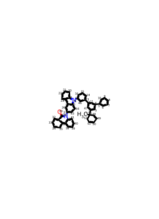 CC1(c2cc(-c3ccccc3)cc(-c3cccc(-n4c5ccccc5c5cc(-n6c(=O)c7ccccc7c7ccccc76)ccc54)c3)c2)C=CC=CC1